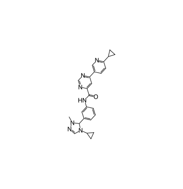 CN1N=CN(C2CC2)C1c1cccc(NC(=O)c2cc(-c3ccc(C4CC4)nc3)ncn2)c1